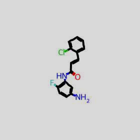 Nc1ccc(F)c(NC(=O)C=Cc2ccccc2Cl)c1